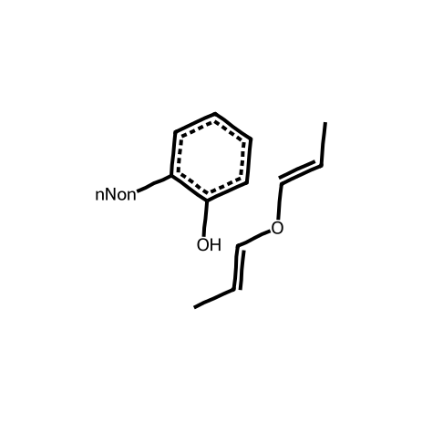 CC=COC=CC.CCCCCCCCCc1ccccc1O